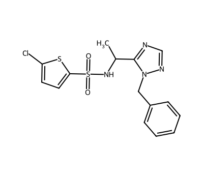 CC(NS(=O)(=O)c1ccc(Cl)s1)c1ncnn1Cc1ccccc1